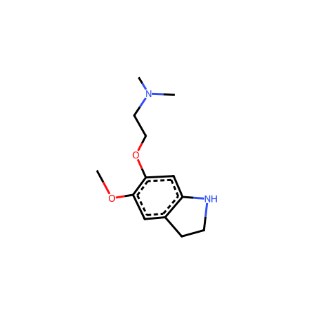 COc1cc2c(cc1OCCN(C)C)NCC2